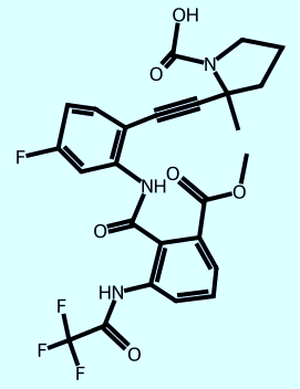 COC(=O)c1cccc(NC(=O)C(F)(F)F)c1C(=O)Nc1cc(F)ccc1C#CC1(C)CCCN1C(=O)O